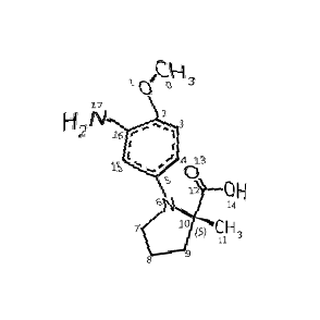 COc1ccc(N2CCC[C@@]2(C)C(=O)O)cc1N